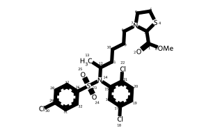 COC(=O)C1SCCN1CCCCC(C)N(c1cc(Cl)ccc1Cl)S(=O)(=O)c1ccc(Cl)cc1